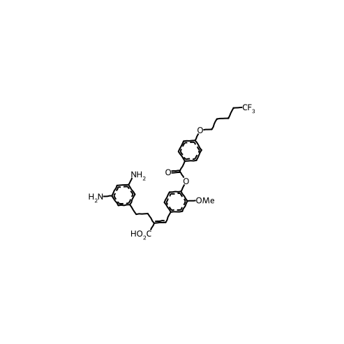 COc1cc(/C=C(\CCc2cc(N)cc(N)c2)C(=O)O)ccc1OC(=O)c1ccc(OCCCCC(F)(F)F)cc1